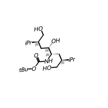 CC(C)[C@@H](CO)C[C@H](NC(=O)OC(C)(C)C)[C@@H](O)C[C@H](CO)C(C)C